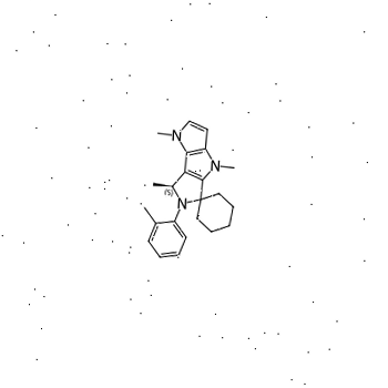 Cc1ccccc1N1[C@@H](C)c2c(n(C)c3ccn(C)c23)C12CCCCC2